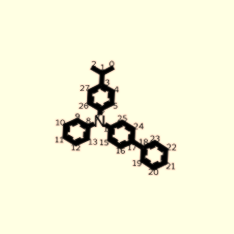 CC(C)c1ccc(N(c2ccccc2)c2ccc(-c3ccccc3)cc2)cc1